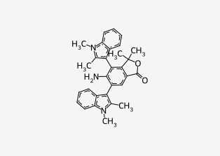 Cc1c(-c2cc3c(c(-c4c(C)n(C)c5ccccc45)c2N)C(C)(C)OC3=O)c2ccccc2n1C